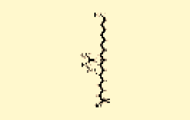 CC(O)NN.CCCCCCCCCCCCCCCCCC(=O)O